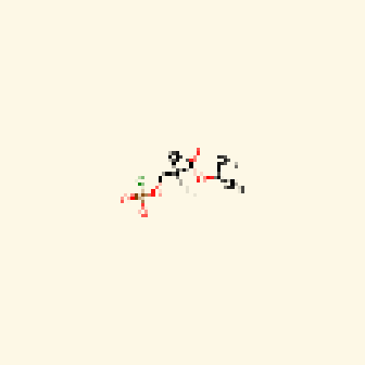 CC(C)OC(=O)C(C)(C)COS(=O)(=O)Cl